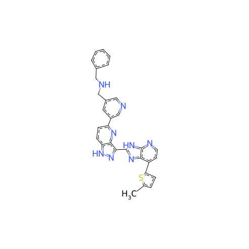 Cc1ccc(-c2ccnc3[nH]c(-c4n[nH]c5ccc(-c6cncc(CNCc7ccccc7)c6)nc45)nc23)s1